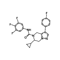 O=C(Nc1cc(F)c(F)c(F)c1)N1Cc2c(-c3ccc(F)cc3)cnn2CC1C1CC1